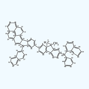 CC1(C)c2cc(-c3ccc4c5c6ccc7cccc8ccc(cc5n(-c5ccc9ccccc9c5)c4c3)c6c87)ccc2-c2ccc(N(c3ccccc3)c3cccc4ccccc34)cc21